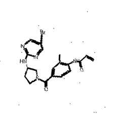 C=CC(=O)Nc1ccc(C(=O)N2CC[C@H](Nc3ncc(Br)cn3)C2)cc1C